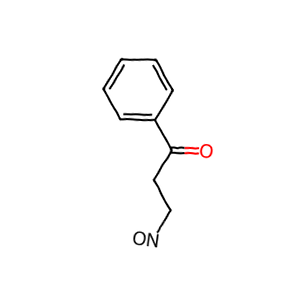 O=NCCC(=O)c1ccccc1